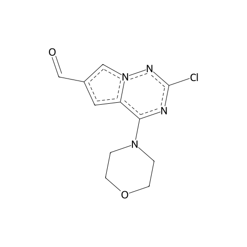 O=Cc1cc2c(N3CCOCC3)nc(Cl)nn2c1